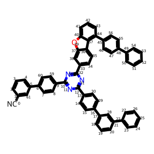 N#Cc1cccc(-c2ccc(-c3nc(-c4ccc(-c5cccc(-c6ccccc6)c5)cc4)nc(-c4ccc5c(c4)oc4cccc(-c6ccc(-c7ccccc7)cc6)c45)n3)cc2)c1